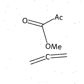 C=C=C.COC(=O)C(C)=O